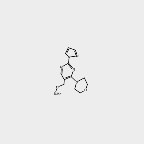 CNOCc1cnc(-n2cccn2)nc1N1CCOCC1